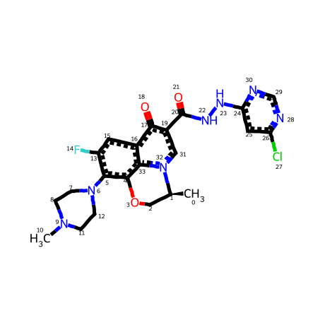 C[C@H]1COc2c(N3CCN(C)CC3)c(F)cc3c(=O)c(C(=O)NNc4cc(Cl)ncn4)cn1c23